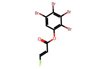 O=C(C=CF)Oc1cc(Br)c(Br)c(Br)c1Br